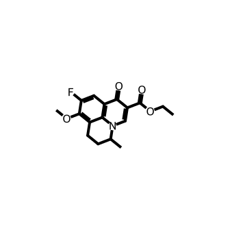 CCOC(=O)c1cn2c3c(c(OC)c(F)cc3c1=O)CCC2C